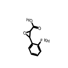 O=C(O)C1OC1c1ccccc1F.[KH]